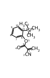 C=C(C#N)C(=O)Oc1ccccc1[Si](C)(C)C